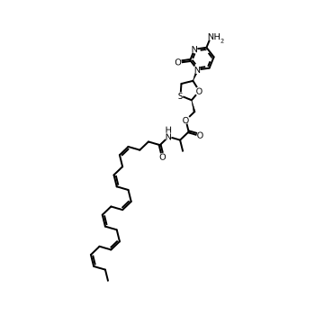 CC/C=C\C/C=C\C/C=C\C/C=C\C/C=C\C/C=C\CCC(=O)NC(C)C(=O)OC[C@@H]1O[C@H](n2ccc(N)nc2=O)CS1